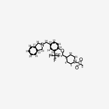 CS(=O)(=O)N1CCC(COc2ccc(CN3Cc4ccccc4C3)cc2C(F)(F)F)CC1